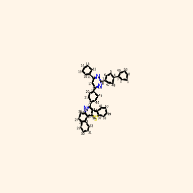 c1ccc(-c2ccc(-c3nc(-c4ccccc4)cc(-c4ccc(-c5nc6ccc7ccccc7c6c6sc7ccccc7c56)cc4)n3)cc2)cc1